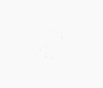 O=S(=O)(c1ccc(O)c2ccccc12)c1ccc(O)c2ccccc12